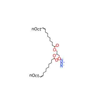 CCCCCCCC/C=C\CCCCCCCC(=O)OCC(CON=[N+]=[N-])OC(=O)CCCCCCC/C=C\CCCCCCCC